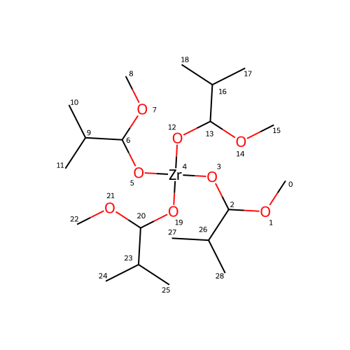 COC([O][Zr]([O]C(OC)C(C)C)([O]C(OC)C(C)C)[O]C(OC)C(C)C)C(C)C